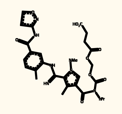 CCCN(C(=O)OCOC(=O)CCC(=O)O)C(=O)c1cn(NC)c(C(=N)Nc2cc(C(=O)Nc3ccon3)ccc2C)c1C